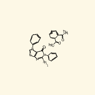 Nc1nc2ncn(-c3ccccc3)c2c(=O)n1-c1ccccc1.O=C(O)c1ccccc1C(=O)O